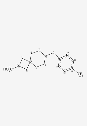 O=C(O)N1CC2(CCC(Cc3ccc(C(F)(F)F)cn3)CC2)C1